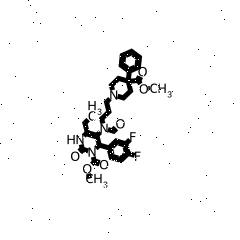 CCC1=C(N(C=O)CCCN2CCC(C(=O)OC)(c3ccccc3)CC2)C(c2ccc(F)c(F)c2)N(C(=O)OC)C(=O)N1